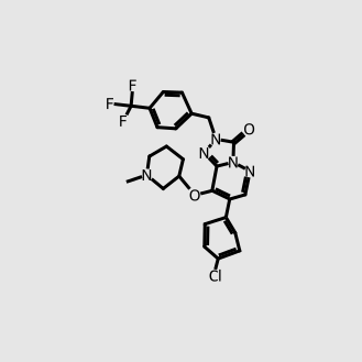 CN1CCCC(Oc2c(-c3ccc(Cl)cc3)cnn3c(=O)n(Cc4ccc(C(F)(F)F)cc4)nc23)C1